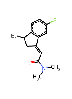 CCC1C/C(=C\C(=O)N(C)C)c2cc(F)ccc21